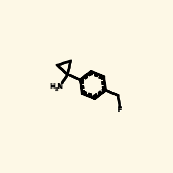 NC1(c2ccc(CF)cc2)CC1